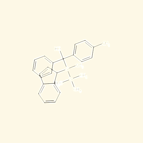 Cc1ccc(C(O)(c2ccccc2)[Si](C)(C2C=Cc3ccccc32)[Si](C)(C)C)cc1